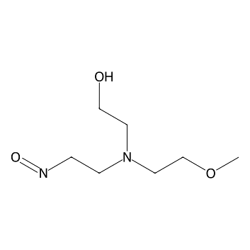 COCCN(CCO)CCN=O